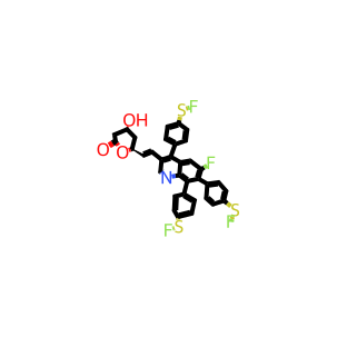 O=C1C[C@H](O)C[C@@H](/C=C/c2cnc3c(-c4ccc(SF)cc4)c(-c4ccc(SF)cc4)c(F)cc3c2-c2ccc(SF)cc2)O1